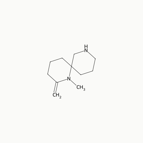 C=C1CCCC2(CCCNC2)N1C